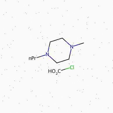 CCCN1CCN(C)CC1.O=C(O)Cl